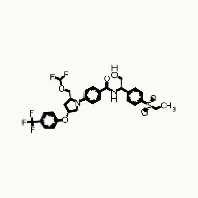 CCS(=O)(=O)c1ccc([C@H](CO)NC(=O)c2ccc(N3C[C@@H](Oc4ccc(C(F)(F)F)cc4)C[C@H]3COC(F)F)cc2)cc1